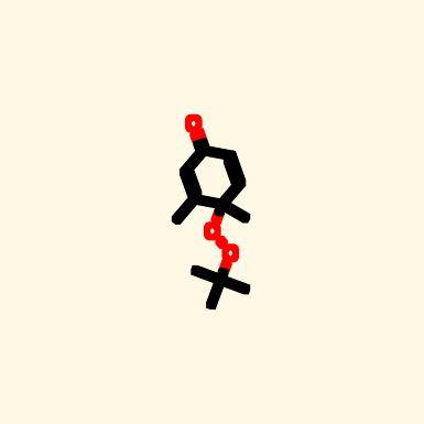 CC1=CC(=O)C=CC1(C)OOC(C)(C)C